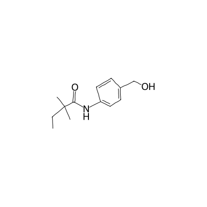 CCC(C)(C)C(=O)Nc1ccc(CO)cc1